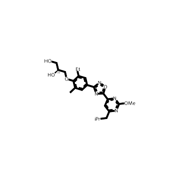 CCc1cc(-c2noc(-c3cc(CC(C)C)nc(OC)n3)n2)cc(C)c1OC[C@@H](O)CO